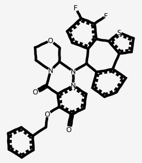 O=C1c2c(OCc3ccccc3)c(=O)ccn2N(C2c3ccccc3-c3ccsc3-c3c2ccc(F)c3F)C2COCCN12